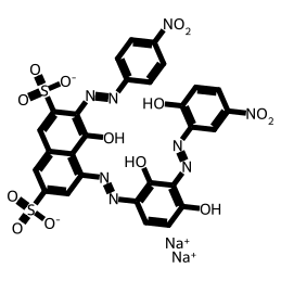 O=[N+]([O-])c1ccc(N=Nc2c(S(=O)(=O)[O-])cc3cc(S(=O)(=O)[O-])cc(N=Nc4ccc(O)c(N=Nc5cc([N+](=O)[O-])ccc5O)c4O)c3c2O)cc1.[Na+].[Na+]